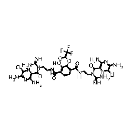 N=C(N)N(CCNC(=O)c1ccc(C(=O)NCCN(C(=N)N)C(=O)c2nc(Cl)c(N)nc2N)c(OC(=O)C(F)(F)F)c1O)C(=O)c1nc(Cl)c(N)nc1N